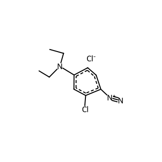 CCN(CC)c1ccc([N+]#N)c(Cl)c1.[Cl-]